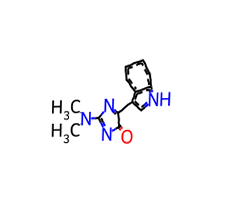 CN(C)C1=NC(=O)C(c2c[nH]c3ccccc23)=N1